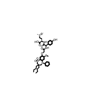 CCCCC1(CCCC)CN(c2ccccc2)c2cc(SC)c(OCC(=O)NC(C(=O)N[C@H](CC[S@+](C)[O-])C(=O)O)c3ccc(O)cc3)cc2S(=O)(=O)C1